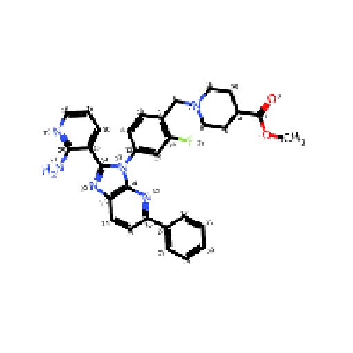 COC(=O)C1CCN(Cc2ccc(-n3c(-c4cccnc4N)nc4ccc(-c5ccccc5)nc43)cc2F)CC1